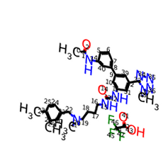 CC(=O)Nc1cccc(-c2cc(NC(=O)NCCCCN(C)Cc3ccc(C)c(C)c3)cc(-c3nnnn3C)c2)c1.O=C(O)C(F)(F)F